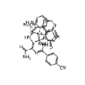 COc1ccccc1[N+]1(c2ccccc2OC)C(=O)NC2=C(C(N)=O)N=C(c3ccc(C#N)cc3)NC21n1c(=O)[nH]c2ncnc(C(N)=O)c21